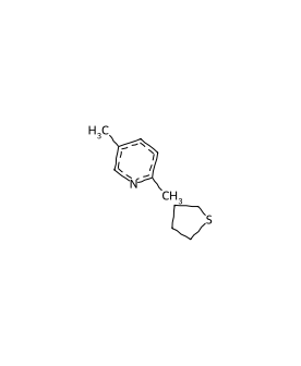 C1CCSC1.Cc1ccc(C)nc1